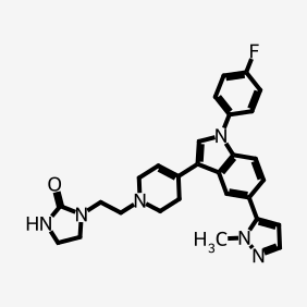 Cn1nccc1-c1ccc2c(c1)c(C1=CCN(CCN3CCNC3=O)CC1)cn2-c1ccc(F)cc1